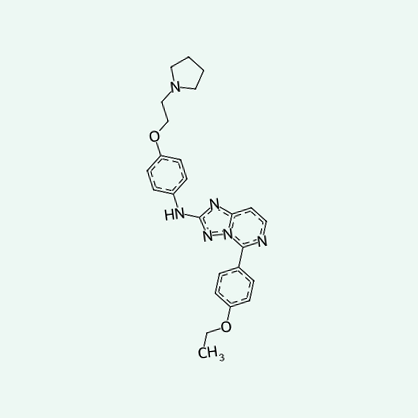 CCOc1ccc(-c2nccc3nc(Nc4ccc(OCCN5CCCC5)cc4)nn23)cc1